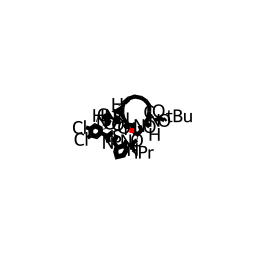 CC(C)n1c(O[C@@H]2C[C@H]3C(=O)N[C@]4(C(=O)NS(=O)(=O)N(C)C)C[C@H]4/C=C\CCCCC[C@H](NC(=O)OC(C)(C)C)C(=O)N3C2)nc2c(-c3nc(-c4ccc(Cl)c(Cl)c4)cs3)cccc21